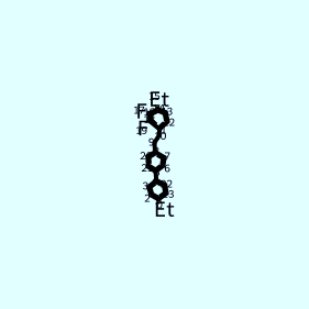 CCc1ccc(-c2ccc(CCc3ccc(CC)c(F)c3F)cc2)cc1